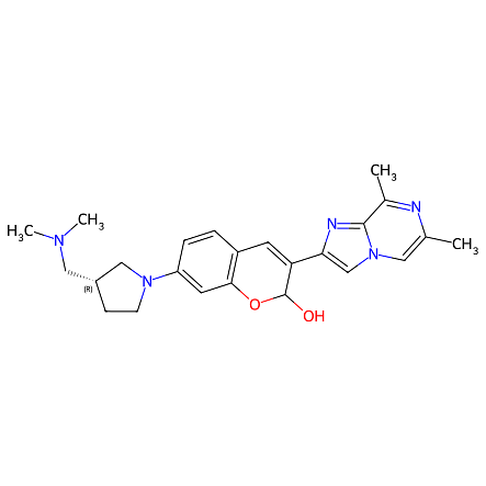 Cc1cn2cc(C3=Cc4ccc(N5CC[C@H](CN(C)C)C5)cc4OC3O)nc2c(C)n1